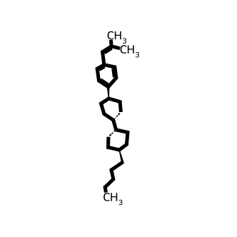 CCCCC[C@H]1CC[C@H]([C@H]2CC[C@H](c3ccc(C=C(C)C)cc3)CC2)CC1